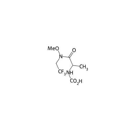 CON(CC(F)(F)F)C(=O)C(C)NC(=O)O